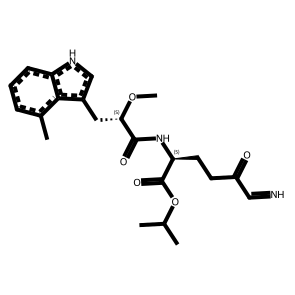 CO[C@@H](Cc1c[nH]c2cccc(C)c12)C(=O)N[C@@H](CCC(=O)C=N)C(=O)OC(C)C